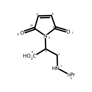 CCCNCC(C(=O)O)N1C(=O)C=CC1=O